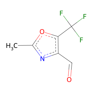 Cc1nc(C=O)c(C(F)(F)F)o1